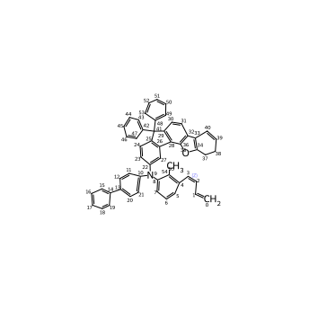 C=C/C=C\c1cccc(N(c2ccc(-c3ccccc3)cc2)c2ccc3c(c2)-c2c(ccc4c5c(oc24)CCC=C5)C3(c2ccccc2)c2ccccc2)c1C